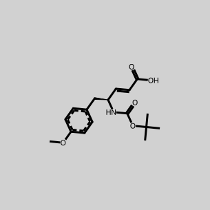 COc1ccc(C[C@@H](C=CC(=O)O)NC(=O)OC(C)(C)C)cc1